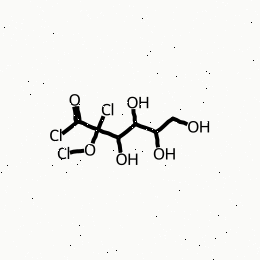 O=C(Cl)C(Cl)(OCl)C(O)C(O)C(O)CO